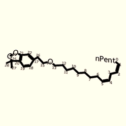 CCCCC/C=C\C/C=C\CCCCCCCCOCCc1ccc2c(c1)OOC2(C)C